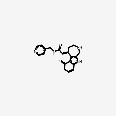 O=C(C=C1CCNCc2[nH]c3c(c21)C(=O)CC=C3)NCc1ccncc1